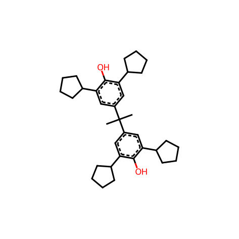 CC(C)(c1cc(C2CCCC2)c(O)c(C2CCCC2)c1)c1cc(C2CCCC2)c(O)c(C2CCCC2)c1